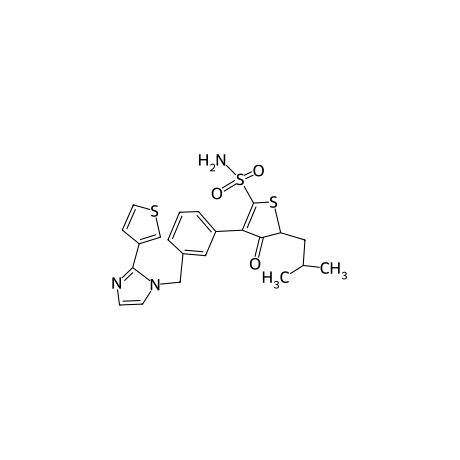 CC(C)CC1SC(S(N)(=O)=O)=C(c2cccc(Cn3ccnc3-c3ccsc3)c2)C1=O